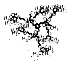 CCCCC(CCCc1cc(CCCC(CCCC)(C(=O)OCCCOC2CC(C)(C)NC(C)(C)C2)C(=O)OCCCOC2CC(C)(C)NC(C)(C)C2)cc(CCCC(CCCC)(C(=O)OCCCOC2CC(C)(C)NC(C)(C)C2)C(=O)OCCCOC2CC(C)(C)NC(C)(C)C2)c1)(C(=O)OCCCOC1CC(C)(C)NC(C)(C)C1)C(=O)OCCCOC1CC(C)(C)NC(C)(C)C1